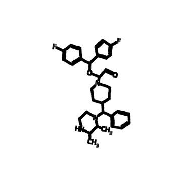 CC1NCCN(C(c2ccccc2)C2CCN(C(C=O)OC(c3ccc(F)cc3)c3ccc(F)cc3)CC2)C1C